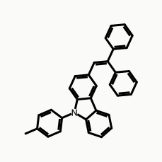 Cc1ccc(-n2c3ccccc3c3cc(C=C(c4ccccc4)c4ccccc4)ccc32)cc1